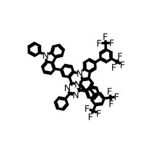 FC(F)(F)c1cc(-c2ccc3c(c2)c2cc(-c4cc(C(F)(F)F)cc(C(F)(F)F)c4)ccc2n3-c2ccc(-c3cccc4c3c3ccccc3n4-c3ccccc3)cc2-c2nc(-c3ccccc3)nc(-c3ccccc3)n2)cc(C(F)(F)F)c1